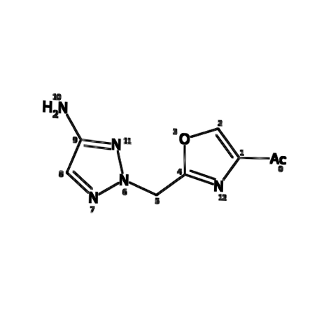 CC(=O)c1coc(Cn2ncc(N)n2)n1